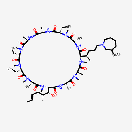 C/C=C/C[C@@H](C)[C@@H](O)[C@H]1C(=O)N[C@@H](CC)C(=O)N(C)[C@H](C)C(=O)N(C)[C@@H]([C@H](C)CCCN2CCCCC(NC)C2)C(=O)N[C@@H](C(C)C)C(=O)N(C)[C@@H](CC(C)C)C(=O)N[C@@H](C)C(=O)N[C@H](C)C(=O)N(C)[C@@H](CC(C)C)C(=O)N(C)[C@@H](CC(C)C)C(=O)N(C)[C@@H](C(C)C)C(=O)N1C